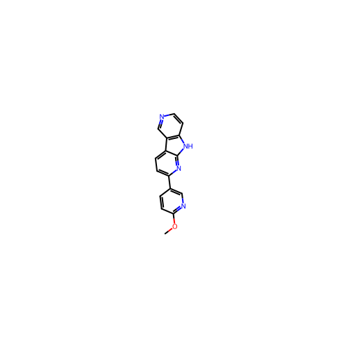 COc1ccc(-c2ccc3c(n2)[nH]c2ccncc23)cn1